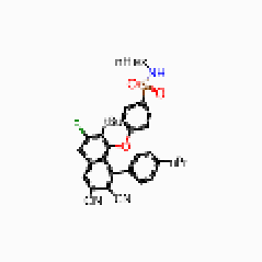 CCCCCCNS(=O)(=O)c1ccc(Oc2c(C(C)(C)C)c(F)cc3cc(C#N)c(C#N)c(-c4ccc(CCC)cc4)c23)cc1